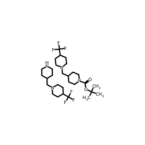 CC(C)(C)OC(=O)N1CCC(CN2CCC(C(F)(F)F)CC2)CC1.FC(F)(F)C1CCN(CC2CCNCC2)CC1